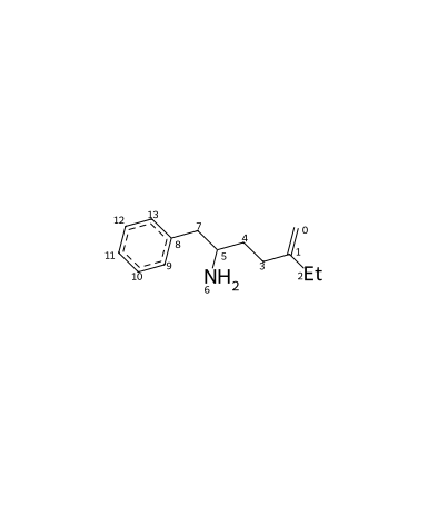 C=C(CC)CCC(N)Cc1ccccc1